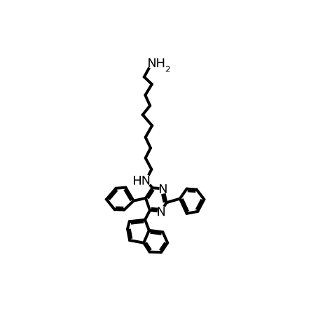 NCCCCCCCCCCNc1nc(-c2ccccc2)nc(-c2cccc3ccccc23)c1-c1ccccc1